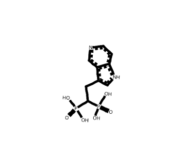 O=P(O)(O)C(Cc1c[nH]c2ccncc12)P(=O)(O)O